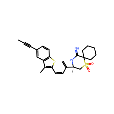 C=C(/C=C\c1sc2ccc(C#CC)cc2c1C)[C@]1(C)CS(=O)(=O)C2(CCCCC2)C(=N)N1